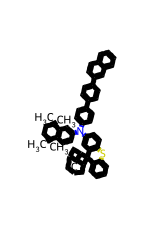 CC1(C)CCC(C)(C)c2cc(N(c3ccc(-c4ccc(-c5ccc6ccccc6c5)cc4)cc3)c3ccc4c(c3)C3(c5ccccc5S4)C4CC5CC6CC3C64C5)ccc21